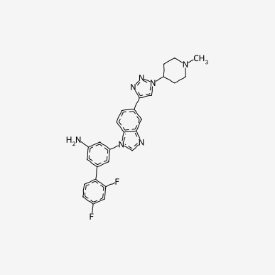 CN1CCC(n2cc(-c3ccc4c(c3)ncn4-c3cc(N)cc(-c4ccc(F)cc4F)c3)nn2)CC1